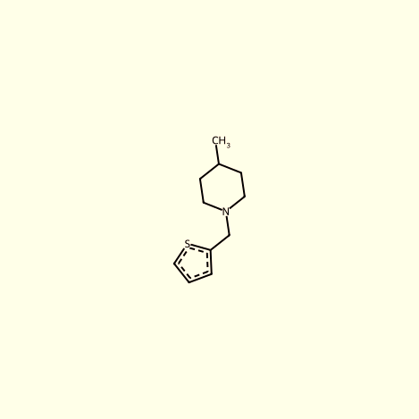 CC1CCN(Cc2cccs2)CC1